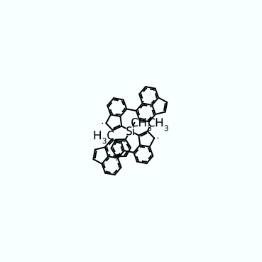 CC1=C([Si](C)(C2=C(C)[CH]c3cccc(-c4ccc5c6c(cccc46)C=C5)c32)c2ccccc2)c2c(cccc2-c2ccc3c4c(cccc24)C=C3)[CH]1